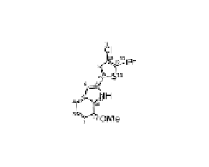 COc1cccc2cc(-c3cc(Cl)c(C(C)C)s3)[nH]c12